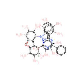 Bc1c(B)c(-c2nc(-c3ccccc3)nc(-c3ccccc3)n2)c2c(oc3c(B)c(B)c(B)c(-n4c5c(B)c(B)c(B)c(B)c5c5c(B)c(B)c(B)c(B)c54)c32)c1B